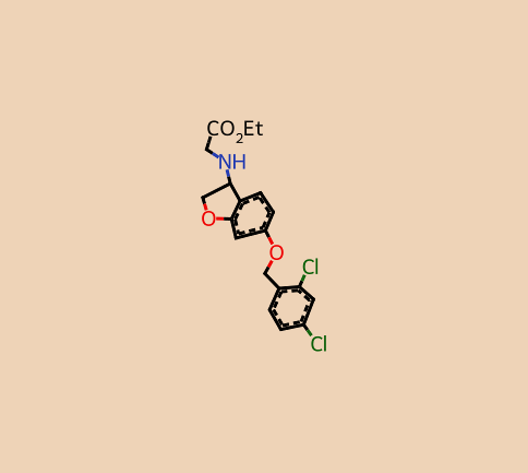 CCOC(=O)CNC1COc2cc(OCc3ccc(Cl)cc3Cl)ccc21